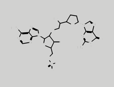 Nc1nc2c(ncn2[C@H]2CCC(C(O)COC3C(F)C(COP(=O)(O)O)OC3n3cnc4c(N)ncnc43)O2)c(=O)[nH]1